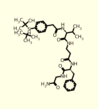 CC(C)[C@H](NC(=O)Cc1ccc([SiH](C(C)(C)C)C(C)(C)C)cc1)C(=O)NCCC(=O)N[C@@H](Cc1ccccc1)C(=O)NCC(N)=O